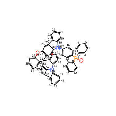 O=P(c1ccccc1)(c1ccccc1)c1ccc(-n2c3ccccc3c3cc4c(cc32)C2(c3ccccc3O4)c3ccccc3-n3c4ccccc4c4cccc2c43)cc1